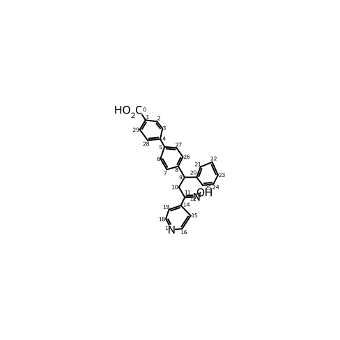 O=C(O)c1ccc(-c2ccc(C(C/C(=N\O)c3ccncc3)c3ccccc3)cc2)cc1